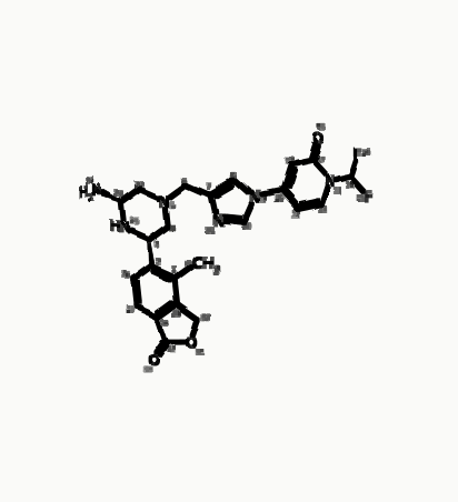 Cc1c([C@@H]2CN(Cc3cn(-c4ccn(C(F)F)c(=O)c4)cn3)C[C@H](N)N2)ccc2c1COC2=O